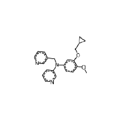 COc1ccc(N(Cc2cccnc2)c2cccnc2)cc1OCC1CC1